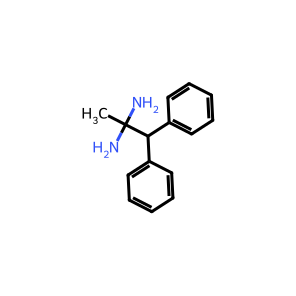 CC(N)(N)C(c1ccccc1)c1ccccc1